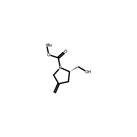 C=C1C[C@@H](CO)N(C(=O)OC(C)(C)C)C1